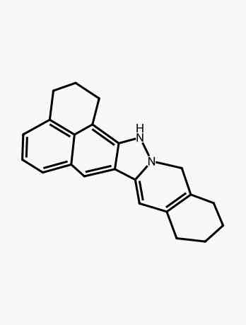 C1=C2c3cc4cccc5c4c(c3NN2CC2=C1CCCC2)CCC5